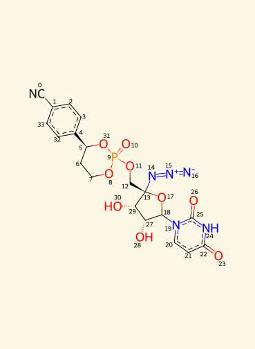 N#Cc1ccc([C@@H]2CCOP(=O)(OC[C@@]3(N=[N+]=[N-])OC(n4ccc(=O)[nH]c4=O)[C@H](O)[C@@H]3O)O2)cc1